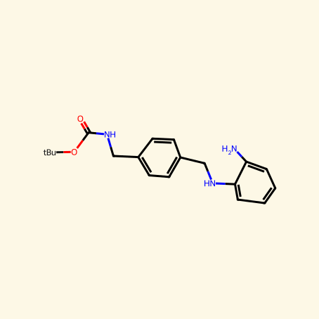 CC(C)(C)OC(=O)NCc1ccc(CNc2ccccc2N)cc1